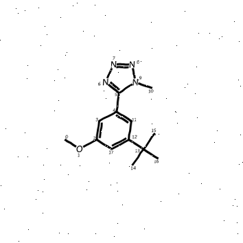 COc1cc(-c2nnnn2C)cc(C(C)(C)C)c1